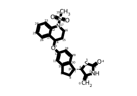 C=C1NC(=O)SC1[C@@H]1CCc2cc(OC3CCN(S(C)(=O)=O)c4ccccc43)ccc21